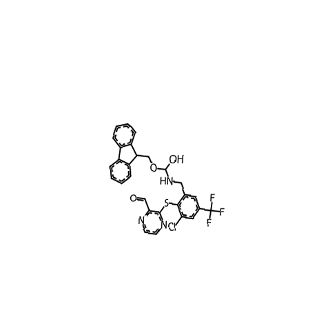 O=Cc1nccnc1Sc1c(Cl)cc(C(F)(F)F)cc1CNC(O)OCC1c2ccccc2-c2ccccc21